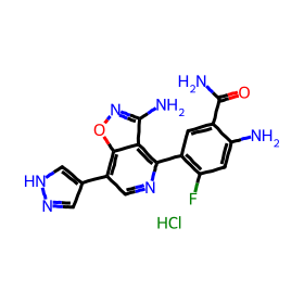 Cl.NC(=O)c1cc(-c2ncc(-c3cn[nH]c3)c3onc(N)c23)c(F)cc1N